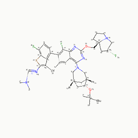 Cc1cc2c(N3C[C@@H]4C[C@H](C3)[C@H](O[Si](C)(C)C(C)(C)C)C4)nc(OC[C@@]34CCCN3C[C@H](F)C4)nc2c(F)c1-c1ccc(F)c2sc(/N=C/N(C)C)c(C#N)c12